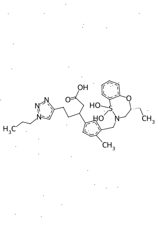 CCCn1cc(CCC(CC(=O)O)c2ccc(C)c(CN3C[C@@H](CC)Oc4ccccc4S3(O)O)c2)nn1